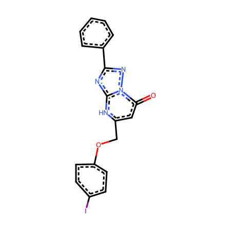 O=c1cc(COc2ccc(I)cc2)[nH]c2nc(-c3ccccc3)nn12